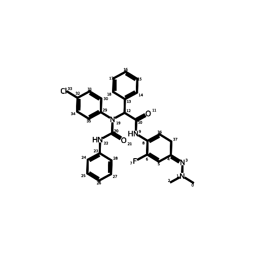 CN(C)N=C1C=C(F)C(NC(=O)C(c2ccccc2)N(C(=O)Nc2ccccc2)c2ccc(Cl)cc2)=CC1